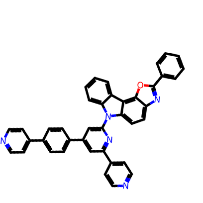 c1ccc(-c2nc3ccc4c(c5ccccc5n4-c4cc(-c5ccc(-c6ccncc6)cc5)cc(-c5ccncc5)n4)c3o2)cc1